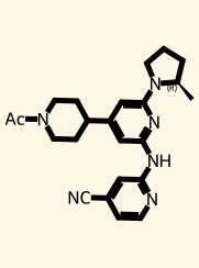 CC(=O)N1CCC(c2cc(Nc3cc(C#N)ccn3)nc(N3CCC[C@H]3C)c2)CC1